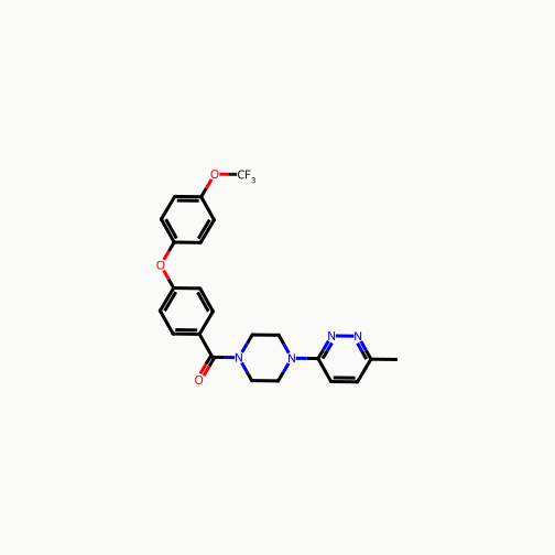 Cc1ccc(N2CCN(C(=O)c3ccc(Oc4ccc(OC(F)(F)F)cc4)cc3)CC2)nn1